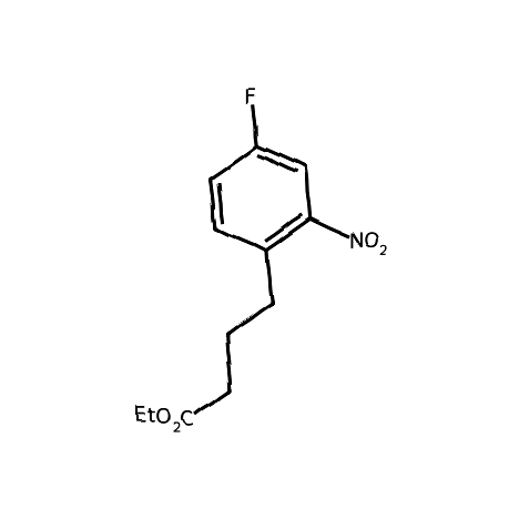 CCOC(=O)CCCc1ccc(F)cc1[N+](=O)[O-]